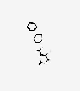 O=C(N[C@H]1CC[C@@H](c2ccccc2)CC1)c1[nH]c(=O)[nH]c(=O)c1O